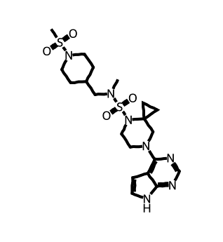 CN(CC1CCN(S(C)(=O)=O)CC1)S(=O)(=O)N1CCN(c2ncnc3[nH]ccc23)CC12CC2